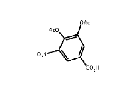 CC(=O)Oc1cc(C(=O)O)cc([N+](=O)[O-])c1OC(C)=O